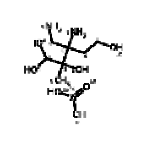 CC(O)(C(O)O)C(N)(CN)CCO.[O]=[Zr]([OH])[OH]